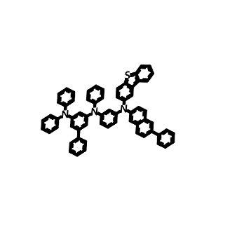 c1ccc(-c2cc(N(c3ccccc3)c3ccccc3)cc(N(c3ccccc3)c3cccc(N(c4ccc5cc(-c6ccccc6)ccc5c4)c4ccc5sc6ccccc6c5c4)c3)c2)cc1